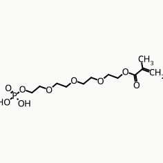 C=C(C)C(=O)OCCOCCOCCOCCOP(=O)(O)O